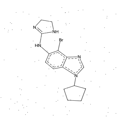 Brc1c(NC2=NCCN2)ccc2c1ncn2C1CCCC1